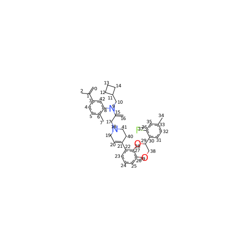 C=C(C)c1ccc(C)c(N(CC2CCC2)C(=C)CN2CC=C(c3cccc4c3OC(c3ccc(C)cc3F)CO4)CC2)c1